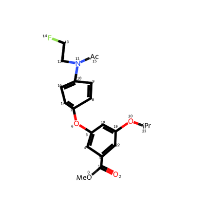 COC(=O)c1cc(Oc2ccc(N(CCF)C(C)=O)cc2)cc(OC(C)C)c1